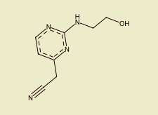 N#CCc1ccnc(NCCO)n1